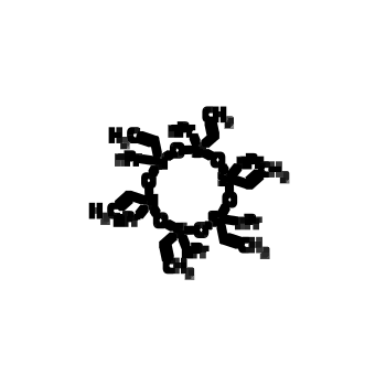 C=C[Si]1(CCC)O[Si](C=C)(CCC)O[Si](C=C)(CCC)O[Si](C=C)(CCC)O[Si](C=C)(CCC)O[Si](C=C)(CCC)O1